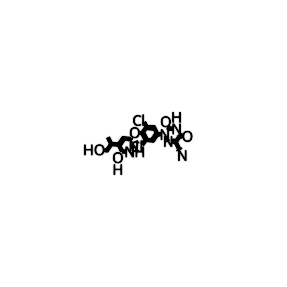 CC(CO)C1=CC(Oc2c(Cl)cc(-n3nc(C#N)c(=O)[nH]c3=O)cc2Cl)=NNC1O